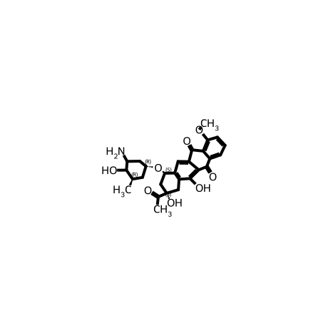 COc1cccc2c1C(=O)c1cc3c(c(O)c1C2=O)C[C@@](O)(C(C)=O)C[C@@H]3O[C@H]1CC(N)C(O)[C@H](C)C1